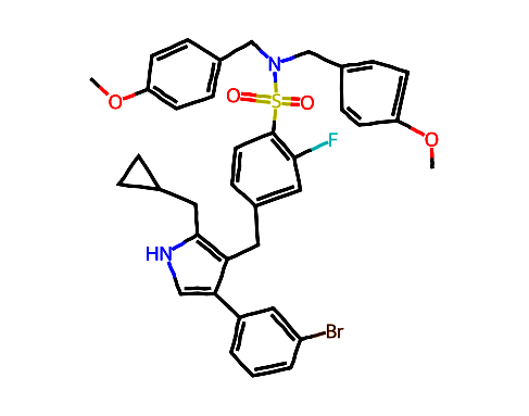 COc1ccc(CN(Cc2ccc(OC)cc2)S(=O)(=O)c2ccc(Cc3c(-c4cccc(Br)c4)c[nH]c3CC3CC3)cc2F)cc1